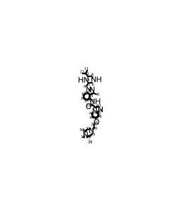 Cc1nn(CC2CNCC(C(C)C)N2)c2cccc(NC(=O)c3cnc4cc(OCCN5C[C@@H](C)N(C)[C@@H](C)C5)ccn34)c12